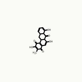 CC1=C(O)C(=O)C2=C(C=C(O)C3C(=O)C4C(O)=CC=CC4CC23)C1=O